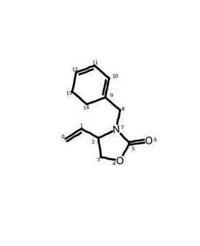 C=CC1COC(=O)N1CC1=CC=CCC1